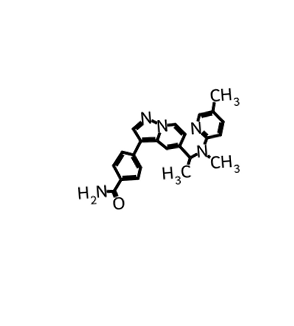 Cc1ccc(N(C)C(C)c2ccn3ncc(-c4ccc(C(N)=O)cc4)c3c2)nc1